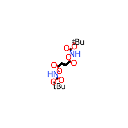 CC(C)(C)OC(=O)NOC(=O)/C=C/C(=O)ONC(=O)OC(C)(C)C